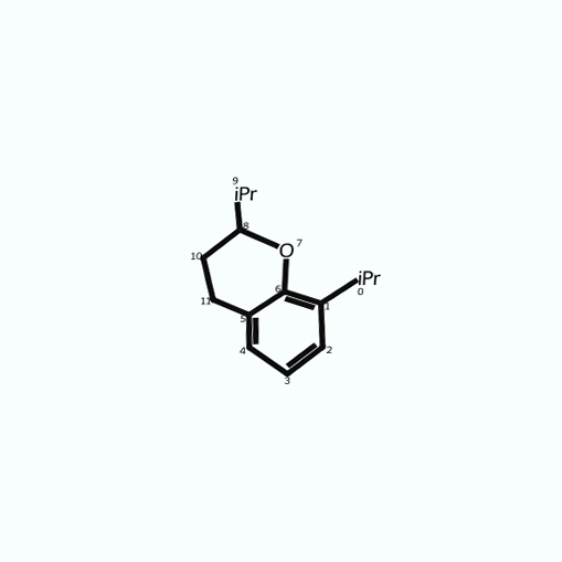 CC(C)c1cccc2c1OC(C(C)C)CC2